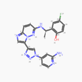 C[C@@H](Nc1ccc2ncc(-c3cn(-c4ccnc(N)c4)nn3)n2n1)c1cc(F)ccc1O